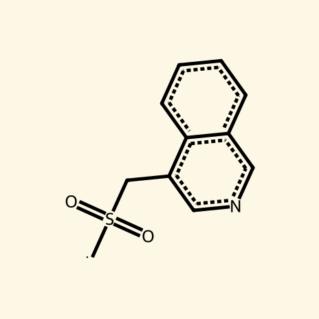 [CH2]S(=O)(=O)Cc1cncc2ccccc12